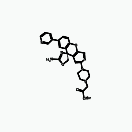 COC(=O)CN1CCN(c2cc3c(cn2)Oc2ccc(-c4cccnc4)cc2[C@@]32COC(N)=N2)CC1